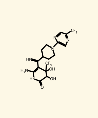 N=C(C1=C(N)NC(=O)C(O)C1(O)C(F)(F)F)C1CCN(c2cnc(C(F)(F)F)cn2)CC1